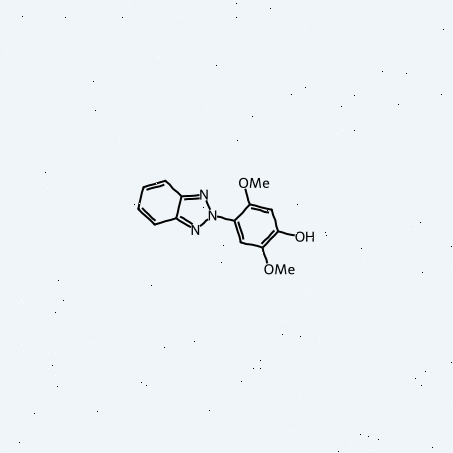 COc1cc(-n2nc3ccccc3n2)c(OC)cc1O